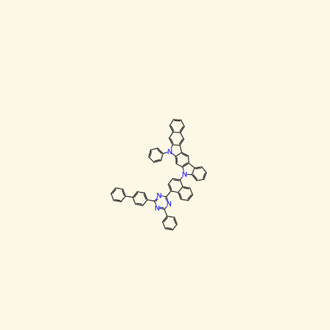 c1ccc(-c2ccc(-c3nc(-c4ccccc4)nc(-c4ccc(-n5c6ccccc6c6cc7c8cc9ccccc9cc8n(-c8ccccc8)c7cc65)c5ccccc45)n3)cc2)cc1